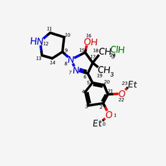 CCOc1ccc(C2=NN(C3CCNCC3)C(O)C2(C)C)cc1OCC.Cl